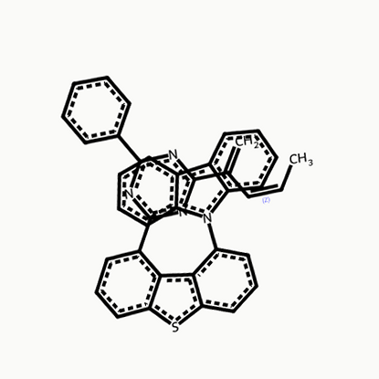 C=C(/C=C\C)c1nc(-c2ccccc2)nc(-c2cccc3sc4cccc(-n5c6ccccc6c6ccccc65)c4c23)n1